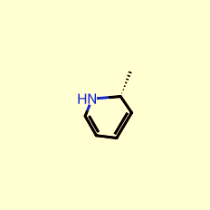 C[C@@H]1C=CC=CN1